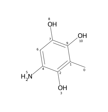 Cc1c(O)c(N)cc(O)c1O